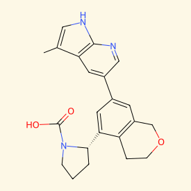 Cc1c[nH]c2ncc(-c3cc4c(c([C@@H]5CCCN5C(=O)O)c3)CCOC4)cc12